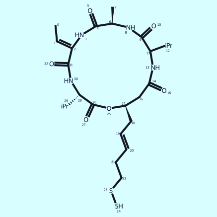 C/C=C1\NC(=O)[C@@H](C)NC(=O)C(C(C)C)NC(=O)C[C@@H](C/C=C/CCSS)OC(=O)[C@H](C(C)C)NC1=O